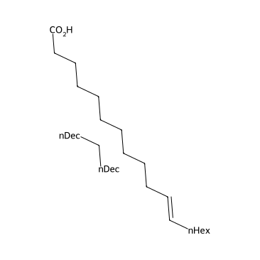 CCCCCC/C=C/CCCCCCCCCC(=O)O.CCCCCCCCCCCCCCCCCCCCC